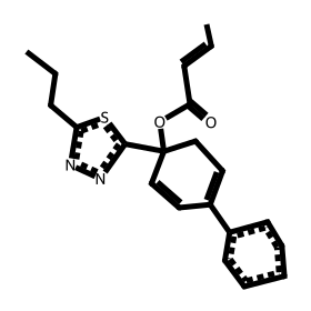 CC=CC(=O)OC1(c2nnc(CCC)s2)C=CC(c2ccccc2)=CC1